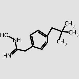 CC(C)(C)Cc1ccc(CC(=N)NO)cc1